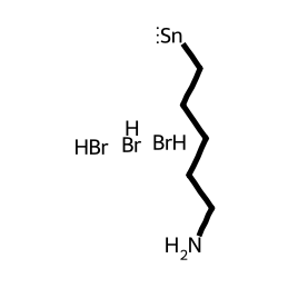 Br.Br.Br.NCCCC[CH2][Sn]